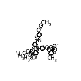 CCOCOc1ccc2nc(-c3ccc(NCC(=O)OC(C)(C)C)c([S+](c4ccc(OC)cc4)c4ccc(OC)cc4)c3)sc2c1.Cc1ccc(S(=O)(=O)[O-])cc1